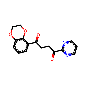 O=C(CCC(=O)c1cccc2c1OCCO2)c1ncccn1